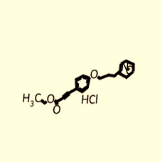 CCOC(=O)C#Cc1ccc(OCCCN2CC3CCC2CC3)cc1.Cl